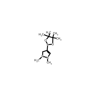 CN1C=C(B2OC(C)(C)C(C)(C)O2)CN1C